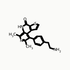 Cc1nc(C)c2[nH]c(=O)c3sccc3c2c1-c1ccc(CCN)cc1